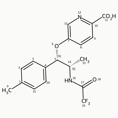 Cc1ccc([C@H](Oc2ccc(C(=O)O)nc2)[C@H](C)NC(=O)C(F)(F)F)cc1